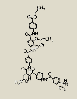 C=CCOC(=O)c1ccc(NC(=O)c2ccc(NC(=O)c3ccc(NC(=O)[C@H](CC(N)=O)NC(=O)c4ccc(NC(=O)c5ccc(C6(C(F)(F)F)N=N6)cc5)cc4)cc3)c(OC(C)C)c2OCC=C)cc1